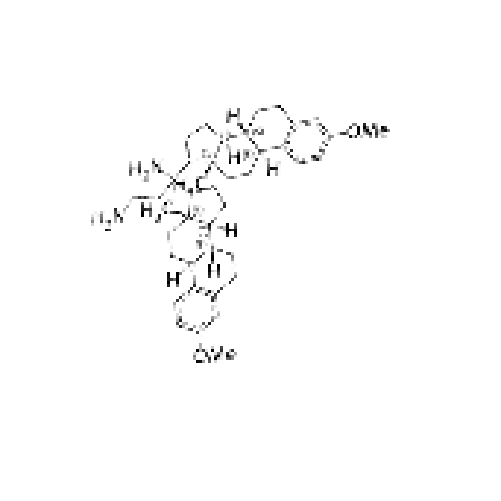 COc1ccc2c(c1)CC[C@@H]1[C@@H]2CC[C@]2(C)C(C(N)(CCN)C3CC[C@H]4[C@@H]5CCc6cc(OC)ccc6[C@H]5CC[C@]34C)CC[C@@H]12